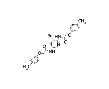 Cc1ccc(OCC(=O)Nc2cnc(NC(=O)COc3ccc(C)cc3)c(Br)c2)cc1